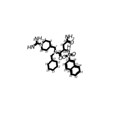 N=C(N)N1CCC(CN(CC2CCCCC2)C(=O)C(CC(N)=O)NS(=O)(=O)c2ccc3ccccc3c2)CC1